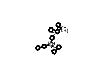 CC1(C)c2ccccc2-c2c1ccc1c2c2ccccc2n1-c1ccc(-c2nc(-c3ccc(-c4ccccc4)cc3)nc(-n3c4ccccc4c4ccccc43)n2)cc1